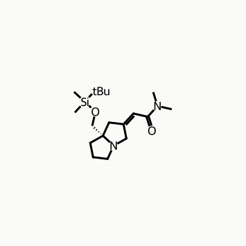 CN(C)C(=O)/C=C1\CN2CCC[C@@]2(CO[Si](C)(C)C(C)(C)C)C1